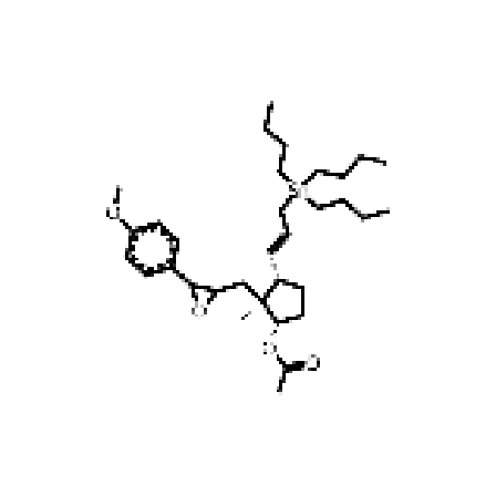 CCC[CH2][Sn]([CH2]/C=C/[C@@H]1CC[C@H](OC(C)=O)[C@@]1(C)CC1OC1c1ccc(OC)cc1)([CH2]CCC)[CH2]CCC